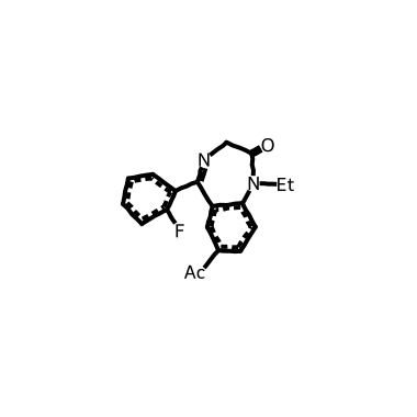 CCN1C(=O)CN=C(c2ccccc2F)c2cc(C(C)=O)ccc21